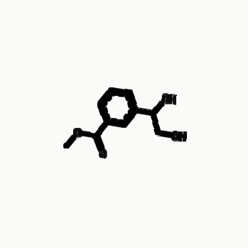 COC(=O)c1cccc(C(O)CO)c1